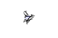 FC(F)(F)/C(Br)=[C]/Cl